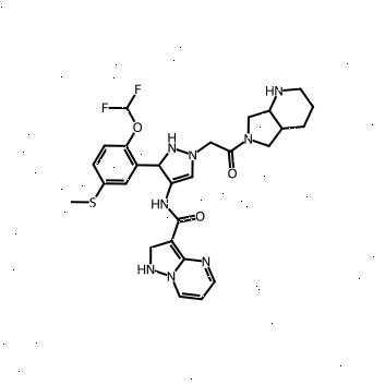 CSc1ccc(OC(F)F)c(C2NN(CC(=O)N3CC4CCCNC4C3)C=C2NC(=O)C2=C3N=CC=CN3NC2)c1